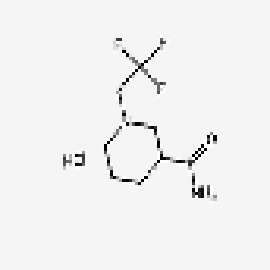 Cl.NC(=O)C1CCCN(CC(F)(F)F)C1